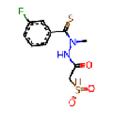 CN(NC(=O)C[SH](=O)=O)C(=S)c1cccc(F)c1